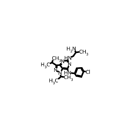 CC(N)CNc1nc(Nc2ccc(Cl)cc2)c2c(n1)c(C(C)C)nn2C(C)C